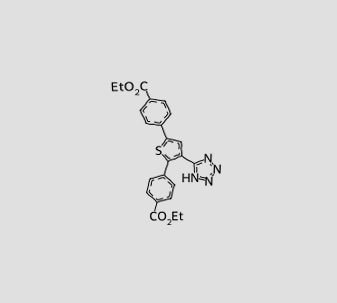 CCOC(=O)c1ccc(-c2cc(-c3nnn[nH]3)c(-c3ccc(C(=O)OCC)cc3)s2)cc1